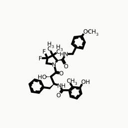 COc1ccc(CNC(=O)[C@H]2N(C(=O)[C@@H](O)[C@H](Cc3ccccc3)NC(=O)c3cccc(O)c3C)CC(F)(F)C2(C)C)cc1